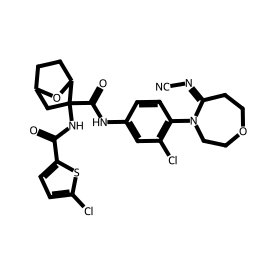 N#C/N=C1/CCOCCN1c1ccc(NC(=O)C2(NC(=O)c3ccc(Cl)s3)CC3CCC2O3)cc1Cl